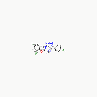 Fc1ccc(-c2n[nH]c3nc(Oc4ccc(F)cc4F)cnc23)cc1